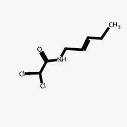 CCC=CCNC(=O)C(Cl)Cl